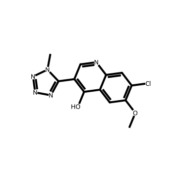 COc1cc2c(O)c(-c3nnnn3C)cnc2cc1Cl